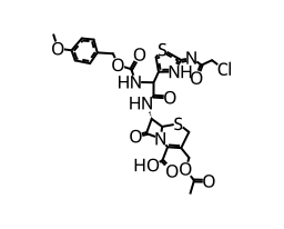 COc1ccc(COC(=O)NC(C(=O)N[C@H]2C(=O)N3C(C(=O)O)=C(COC(C)=O)CSC23)c2cs/c(=N/C(=O)CCl)[nH]2)cc1